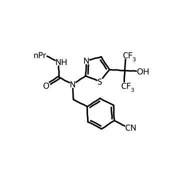 CCCNC(=O)N(Cc1ccc(C#N)cc1)c1ncc(C(O)(C(F)(F)F)C(F)(F)F)s1